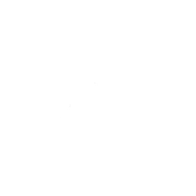 COC(=O)/C=C\C(=O)OCO